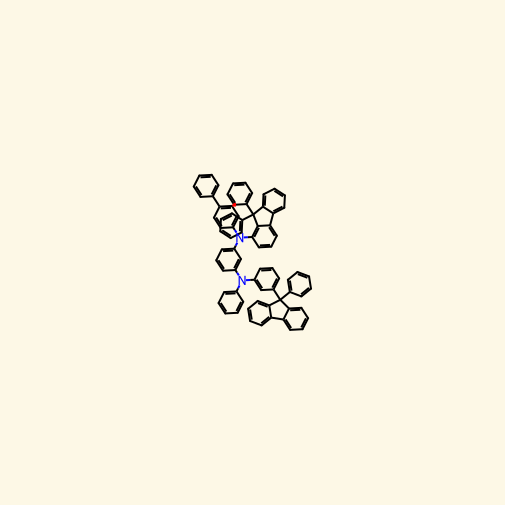 c1ccc(-c2ccc(N(c3cccc(N(c4ccccc4)c4cccc(C5(c6ccccc6)c6ccccc6-c6ccccc65)c4)c3)c3cccc4c3C(c3ccccc3)(c3ccccc3)c3ccccc3-4)cc2)cc1